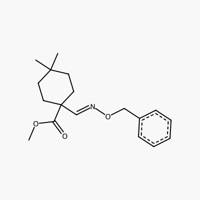 COC(=O)C1(C=NOCc2ccccc2)CCC(C)(C)CC1